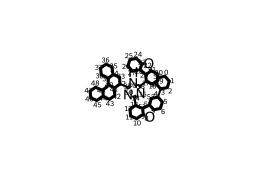 c1ccc(-c2ccc3oc4cccc(C5=NC(c6cccc7oc8ccccc8c67)NC(c6cc7ccccc7c7c6ccc6ccccc67)=N5)c4c3c2)cc1